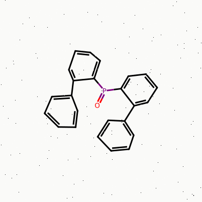 O=[P](c1ccccc1-c1ccccc1)c1ccccc1-c1ccccc1